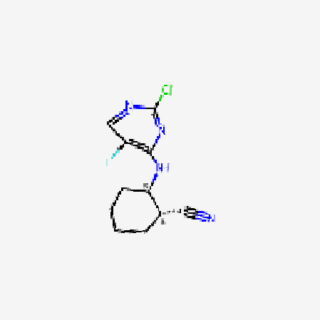 N#C[C@@H]1CCCC[C@H]1Nc1nc(Cl)ncc1F